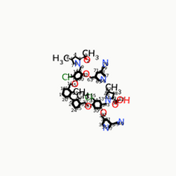 CC(=O)[C@@H]1C[C@H](C)CN1Cc1cc(Cl)c(OCc2cccc(-c3cccc(COc4cc(OCc5cncc(C#N)c5)c(CN5C[C@@H](C)C[C@H]5C(=O)O)cc4Cl)c3C)c2C)cc1OCc1cncc(C#N)c1